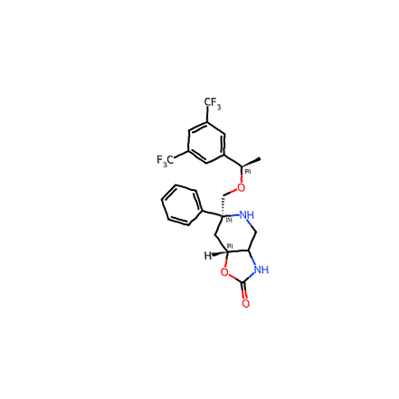 C[C@@H](OC[C@@]1(c2ccccc2)C[C@H]2OC(=O)NC2CN1)c1cc(C(F)(F)F)cc(C(F)(F)F)c1